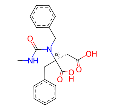 CNC(=O)N(Cc1ccccc1)[C@](CC(=O)O)(Cc1ccccc1)C(=O)O